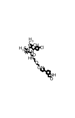 Cc1sc2c(c1C)C(c1ccc(Cl)cc1)=N[C@@H](CC(=O)NCCOCCOc1ccc(-c3ccc4c(c3)CC(=O)N4)cn1)c1nnc(C)n1-2